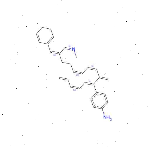 C=C/C=C\C=C(\C(=C)/C=C\C=C/CCC(/C=N\C)=C/C1=CCCC=C1)c1ccc(N)cc1